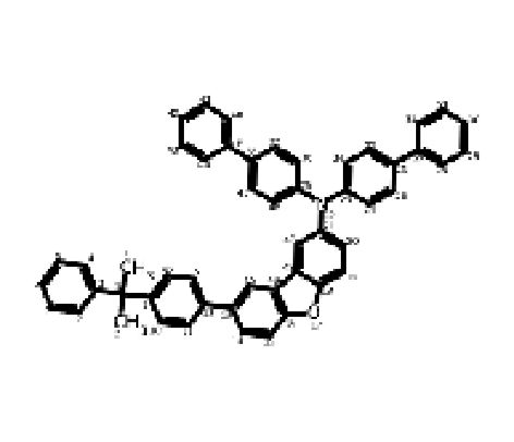 CC(C)(c1ccccc1)c1ccc(-c2ccc3oc4ccc(N(c5ccc(-c6ccccc6)cc5)c5ccc(-c6ccccc6)cc5)cc4c3c2)cc1